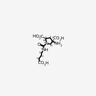 N[C@]1(C(=O)O)C[C@H](C(=O)O)N(C(=O)NCCCC(=O)O)C1